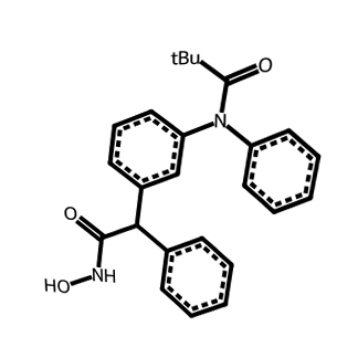 CC(C)(C)C(=O)N(c1ccccc1)c1cccc(C(C(=O)NO)c2ccccc2)c1